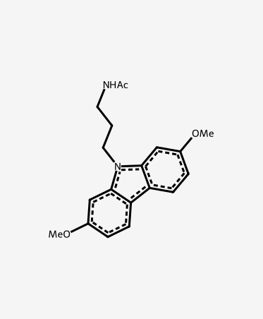 COc1ccc2c3ccc(OC)cc3n(CCCNC(C)=O)c2c1